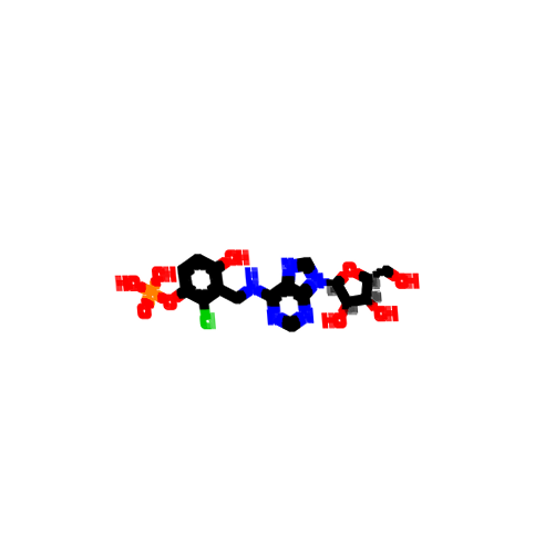 O=P(O)(O)Oc1ccc(O)c(CNc2ncnc3c2ncn3[C@@H]2O[C@H](CO)[C@@H](O)[C@H]2O)c1Cl